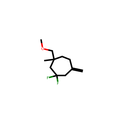 C=C1CCC(C)(COC)CC(F)(F)C1